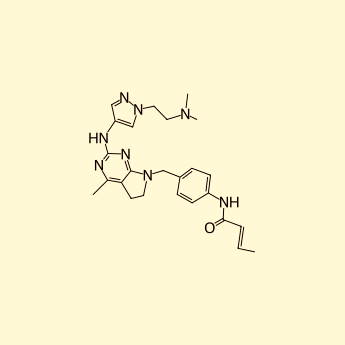 C/C=C/C(=O)Nc1ccc(CN2CCc3c(C)nc(Nc4cnn(CCN(C)C)c4)nc32)cc1